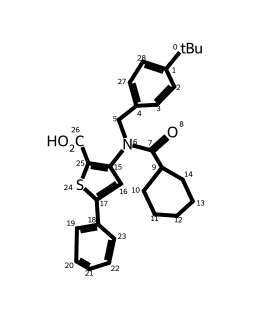 CC(C)(C)c1ccc(CN(C(=O)C2CCCCC2)c2cc(-c3ccccc3)sc2C(=O)O)cc1